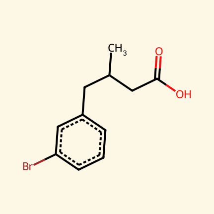 CC(CC(=O)O)Cc1cccc(Br)c1